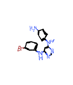 Nc1ccc(Nc2cc(Nc3cccc(Br)c3)ncn2)cc1